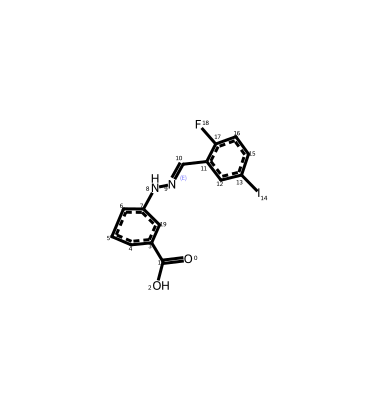 O=C(O)c1cccc(N/N=C/c2cc(I)ccc2F)c1